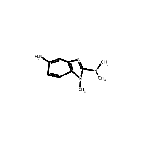 CN(C)c1nc2cc(N)ccc2n1C